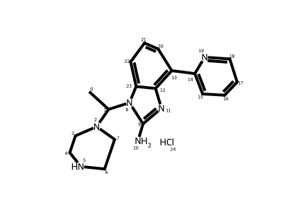 CC(N1CCNCC1)n1c(N)nc2c(-c3ccccn3)cccc21.Cl